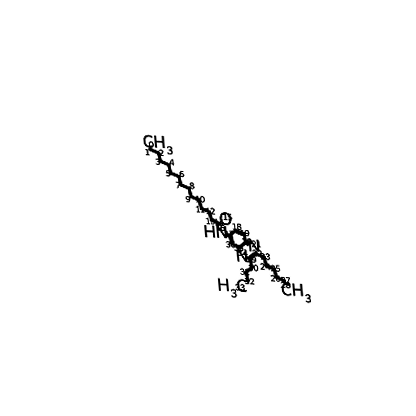 CCCCCCCCCCCCCCC(=O)Nc1ccc2nc(CCCCCC)c(CCCC)nc2c1